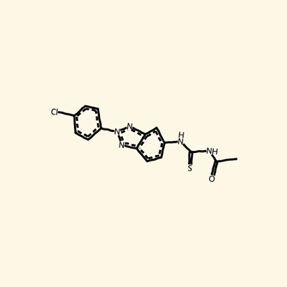 CC(=O)NC(=S)Nc1ccc2nn(-c3ccc(Cl)cc3)nc2c1